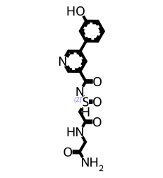 NC(=O)CNC(=O)C/[SH](=O)=N/C(=O)c1cncc(-c2cccc(O)c2)c1